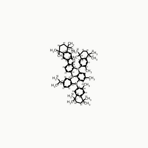 Cc1cc2c3c(c1)N(c1cc4c(cc1C)C(C)(C)CCC4(C)C)c1c(ccc4c1oc1cc5c(cc14)C(C)(C)CCC5(C)C)B3c1cc(C(C)C)ccc1N2c1cc2c(cc1C)C(C)(C)CCC2(C)C